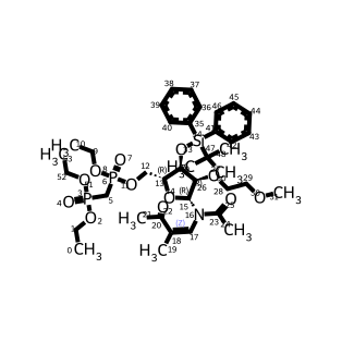 CCOP(=O)(CP(=O)(OCC)OC[C@H]1O[C@@H](N(/C=C(/C)C(C)=O)C(C)=O)[C@H](OCCOC)[C@@H]1O[Si](c1ccccc1)(c1ccccc1)C(C)(C)C)OCC